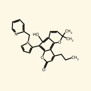 CCCc1cc(=O)oc2c(-c3cccn3Cc3ccccn3)c(O)c3c(c12)OC(C)(C)C=C3